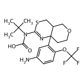 CC(C)(C)N(C(=O)O)C1=NC2(c3cc(N)ccc3OC(F)(F)F)CCOCC2CS1